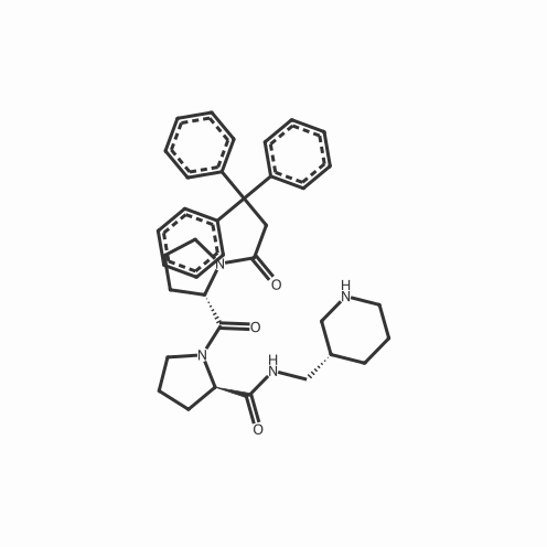 O=C(NC[C@H]1CCCNC1)[C@H]1CCCN1C(=O)[C@@H]1CCCN1C(=O)CC(c1ccccc1)(c1ccccc1)c1ccccc1